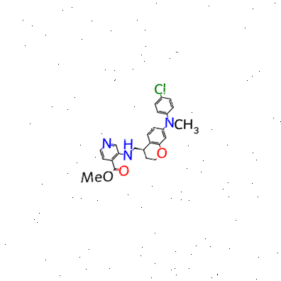 COC(=O)c1ccncc1NC[C@@H]1CCOc2cc(N(C)c3ccc(Cl)cc3)ccc21